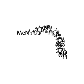 CNCCCOc1ccc(CN2CCC(C3CCN(Cc4ccc(S(=O)(=O)c5ccc(O)c(O)c5)cc4)CC3)CC2)cc1